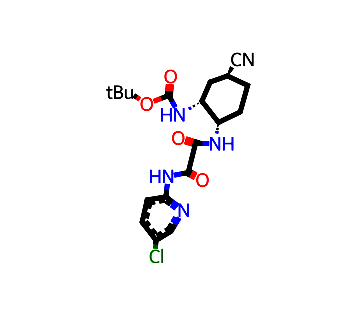 CC(C)(C)OC(=O)N[C@@H]1C[C@@H](C#N)CC[C@@H]1NC(=O)C(=O)Nc1ccc(Cl)cn1